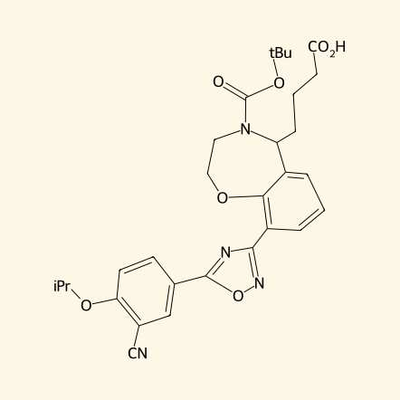 CC(C)Oc1ccc(-c2nc(-c3cccc4c3OCCN(C(=O)OC(C)(C)C)C4CCCC(=O)O)no2)cc1C#N